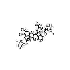 CCN(CC)C(=O)C(OC(=O)C(F)(F)F)n1cc(-c2nc3cc(Cl)c(Cl)cc3n(CC(N)CC(C)C)c2=O)c2ccccc21